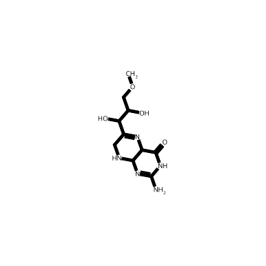 COCC(O)C(O)C1=NC2C(=O)NC(N)=NC2NC1